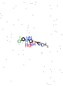 CN1CC2C(COc3cc4ncnc(Nc5ccc(F)c(Cl)c5)c4cc3NO)C2C1